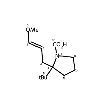 CO/C=C/CC1(C(C)(C)C)CCCN1C(=O)O